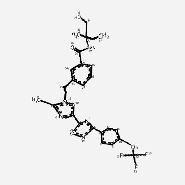 Cc1nc(-c2nc(-c3ccc(OC(F)(F)F)cc3)no2)nn1Cc1cccc(C(=O)NC(C)(C)CO)c1